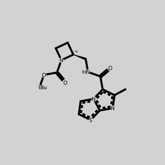 Cc1nc2sccn2c1C(=O)NC[C@@H]1CCN1C(=O)OC(C)(C)C